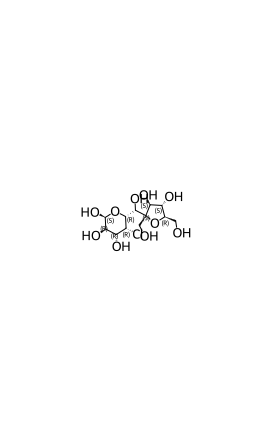 OC[C@H]1O[C@](CO)(C(O)[C@H]2O[C@H](O)[C@H](O)[C@@H](O)[C@H]2Cl)[C@@H](O)[C@@H]1O